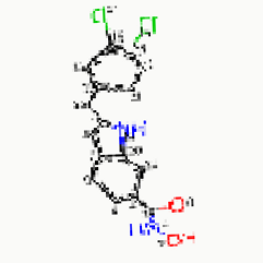 O=C(NO)c1ccc2cc(Cc3ccc(Cl)c(Cl)c3)[nH]c2c1